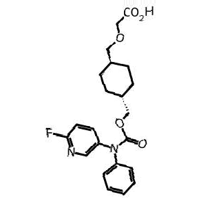 O=C(O)COC[C@H]1CC[C@H](COC(=O)N(c2ccccc2)c2ccc(F)nc2)CC1